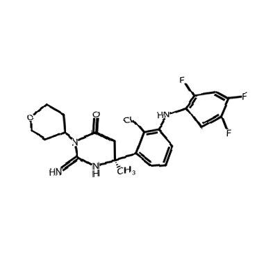 C[C@@]1(c2cccc(Nc3cc(F)c(F)cc3F)c2Cl)CC(=O)N(C2CCOCC2)C(=N)N1